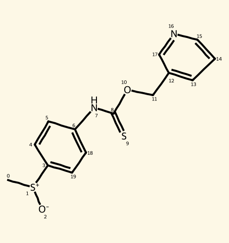 C[S+]([O-])c1ccc(NC(=S)OCc2cccnc2)cc1